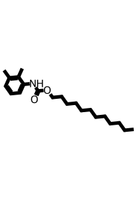 CCCCCCCCCCCCOC(=O)Nc1cccc(C)c1C